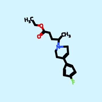 CCOC(=O)CCC(C)N1CC=C(c2ccc(F)cc2)CC1